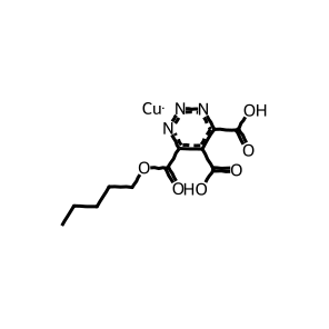 CCCCCOC(=O)c1nnnc(C(=O)O)c1C(=O)O.[Cu]